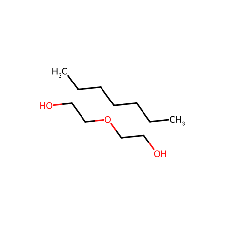 CCCCCCC.OCCOCCO